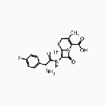 CC1=C(C(=O)O)N2C(=O)[C@@H](NC(=O)[C@H](N)c3ccc(F)cc3)[C@H]2SC1